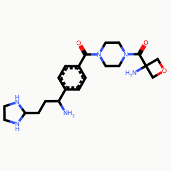 NC(CCC1NCCN1)c1ccc(C(=O)N2CCN(C(=O)C3(N)COC3)CC2)cc1